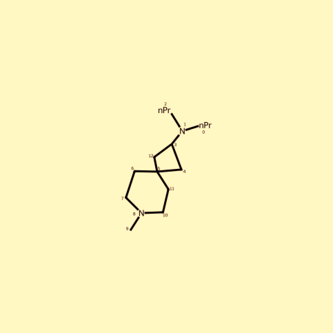 CCCN(CCC)C1CC2(CCN(C)CC2)C1